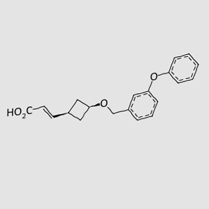 O=C(O)C=C[C@H]1C[C@@H](OCc2cccc(Oc3ccccc3)c2)C1